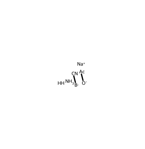 CC(=O)[O-].N.[B]C#N.[HH].[Na+]